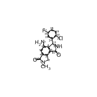 CN1Cc2c(cc(N)c3c2C(=O)NC3c2cc(F)ccc2Cl)C1=O